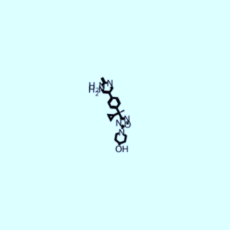 C=C(N)/N=C\C(=C/N)c1ccc([C@](C)(c2noc(N3CCC(O)CC3)n2)C2CC2)cc1